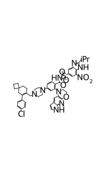 CC(C)c1nc2cc(S(=O)(=O)NC(=O)c3ccc(N4CCN(CC5=C(c6ccc(Cl)cc6)CC6(CCC6)CC5)CC4)cc3N3CCOc4nc5[nH]ccc5cc43)cc([N+](=O)[O-])c2[nH]1